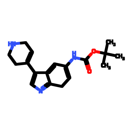 CC(C)(C)OC(=O)NC1=CCC2=NC=C(C3=CCNCC3)C2=C1